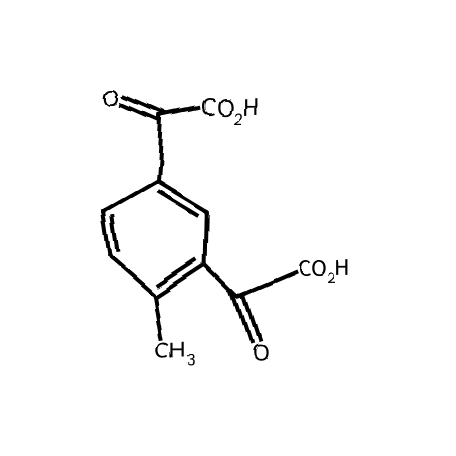 Cc1ccc(C(=O)C(=O)O)cc1C(=O)C(=O)O